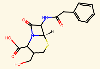 O=C(Cc1ccccc1)NC1C(=O)N2C(C(=O)O)C(CO)CS[C@H]12